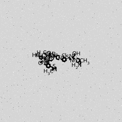 CC(=O)N[C@H](C(=O)N1C[C@H](O)C[C@H]1C(=O)NCc1ccc(-c2scnc2C)cc1OC1CCN(C(=O)C2CCN(c3cccc(Sc4cnc(N5CCC(C)(CN)CC5)c(CO)n4)c3Cl)CC2)CC1)C(C)(C)C